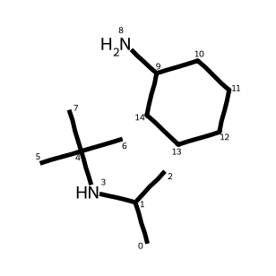 CC(C)NC(C)(C)C.NC1CCCCC1